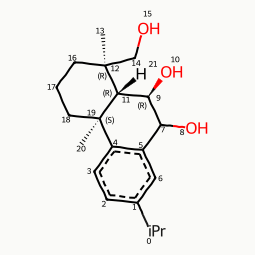 CC(C)c1ccc2c(c1)C(O)[C@H](O)[C@H]1[C@](C)(CO)CCC[C@]21C